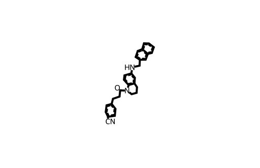 N#Cc1ccc(CCC(=O)N2CCCc3cc(NCc4ccc5ccccc5c4)ccc32)cc1